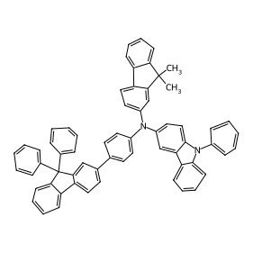 CC1(C)c2ccccc2-c2ccc(N(c3ccc(-c4ccc5c(c4)C(c4ccccc4)(c4ccccc4)c4ccccc4-5)cc3)c3ccc4c(c3)c3ccccc3n4-c3ccccc3)cc21